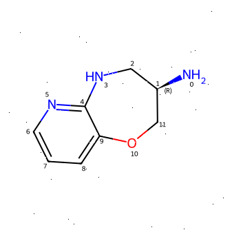 N[C@@H]1CNc2ncccc2OC1